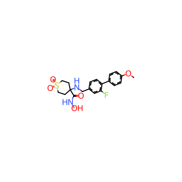 COc1ccc(-c2ccc(CNC3(C(=O)NO)CCS(=O)(=O)CC3)cc2F)cc1